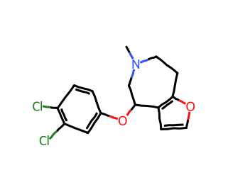 CN1CCc2occc2C(Oc2ccc(Cl)c(Cl)c2)C1